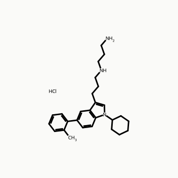 Cc1ccccc1-c1ccc2c(c1)c(CCCNCCCN)cn2C1CCCCC1.Cl